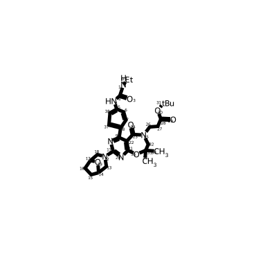 CCNC(=O)Nc1ccc(-c2nc(N3CC4CCC(C3)O4)nc3c2C(=O)N(CCC(=O)OC(C)(C)C)CC(C)(C)O3)cc1